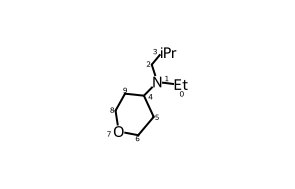 CCN(CC(C)C)C1CCOCC1